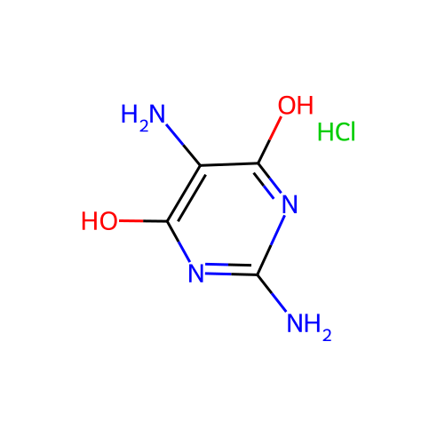 Cl.Nc1nc(O)c(N)c(O)n1